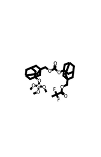 CO[Si](OC)(OC)OC12CC3CC(CC(COC(=O)OC45CC6CC(CC(COC(=O)C(C)(F)F)(C6)C4)C5)(C3)C1)C2